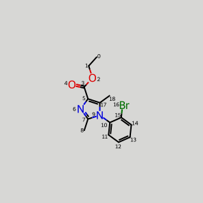 CCOC(=O)c1nc(C)n(-c2ccccc2Br)c1C